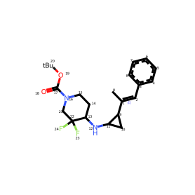 C/C(=C\c1ccccc1)C1CC1NC1CCN(C(=O)OC(C)(C)C)CC1(F)F